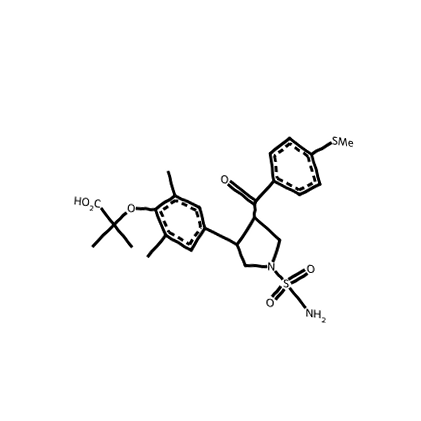 CSc1ccc(C(=O)C2CN(S(N)(=O)=O)CC2c2cc(C)c(OC(C)(C)C(=O)O)c(C)c2)cc1